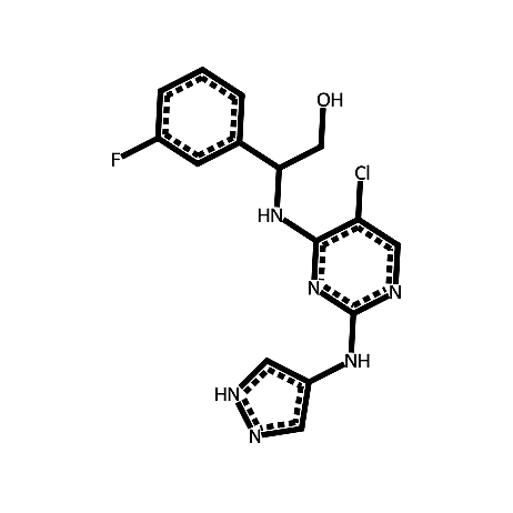 OCC(Nc1nc(Nc2cn[nH]c2)ncc1Cl)c1cccc(F)c1